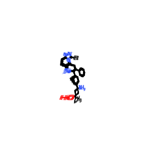 CCc1nnc2ccc3nc(-c4ccc(C5(N)CC(C)(O)C5)cc4)c(-c4ccccc4)cc3n12